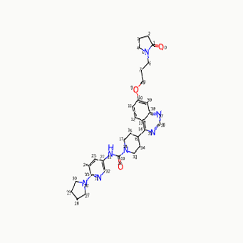 O=C1CCCN1CCCOc1ccc2c(C3CCN(C(=O)Nc4ccc(N5CCCC5)nc4)CC3)ncnc2c1